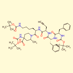 C#CC[C@@H](NC(=O)[C@@H](Cc1ccccc1)NC(=O)[C@@H](Cc1ccccc1)NC(=O)OC(C)(C)C)C(=O)N[C@H](CCCCNC(=O)OC(C)(C)C)C(=O)N1CCC(NC(=O)OC(C)(C)C)(C(=O)O)CC1C